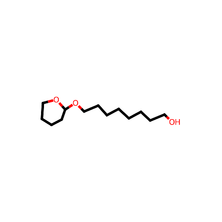 OCCCCCCCCOC1CCCCO1